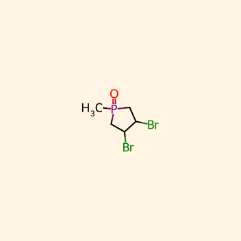 CP1(=O)CC(Br)C(Br)C1